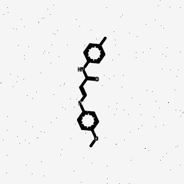 COc1ccc(SC=CC(=O)Nc2ccc(C)cc2)cc1